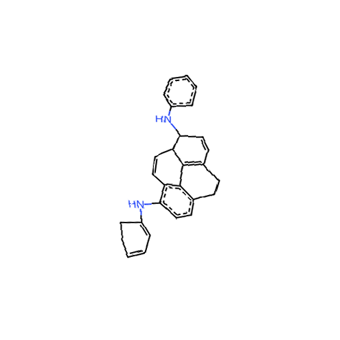 C1=CCCC(Nc2ccc3c4c2C=CC2C4=C(C=CC2Nc2ccccc2)CC3)=C1